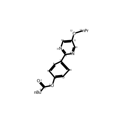 CCCCC(=O)Oc1ccc(-c2ncc(OCCC)cn2)cc1